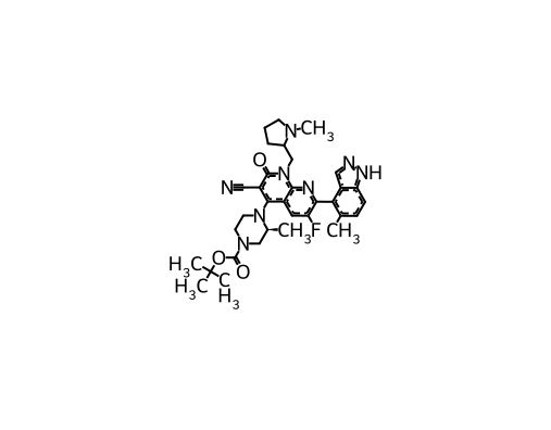 Cc1ccc2[nH]ncc2c1-c1nc2c(cc1F)c(N1CCN(C(=O)OC(C)(C)C)C[C@@H]1C)c(C#N)c(=O)n2CC1CCCN1C